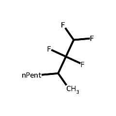 CCCCCC(C)C(F)(F)C(F)F